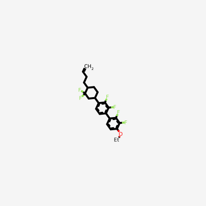 C=CCCC1CCC(c2ccc(-c3ccc(OCC)c(F)c3F)c(F)c2F)CC1(F)F